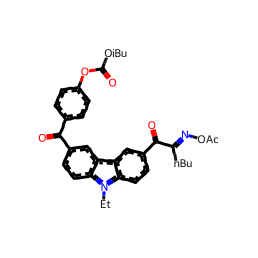 CCCC/C(=N\OC(C)=O)C(=O)c1ccc2c(c1)c1cc(C(=O)c3ccc(OC(=O)OCC(C)C)cc3)ccc1n2CC